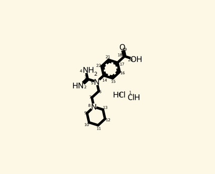 Cl.Cl.N=C(N)N(CCN1CCCCC1)c1ccc(C(=O)O)cc1